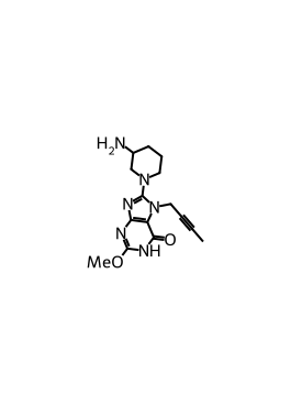 CC#CCn1c(N2CCCC(N)C2)nc2nc(OC)[nH]c(=O)c21